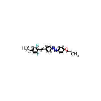 CCCOc1ccc(N=Nc2ccc(C#Cc3c(F)cc(CC)cc3F)cc2)cc1